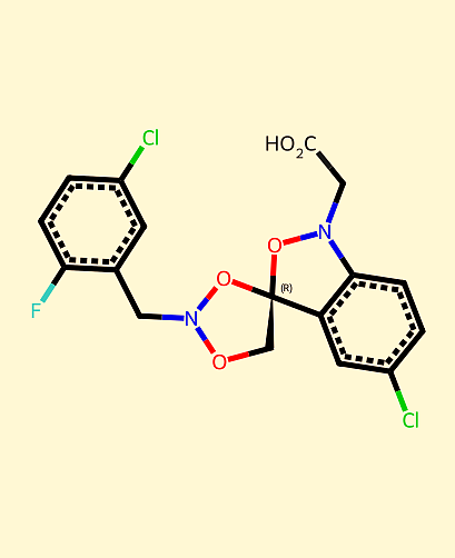 O=C(O)CN1O[C@]2(CON(Cc3cc(Cl)ccc3F)O2)c2cc(Cl)ccc21